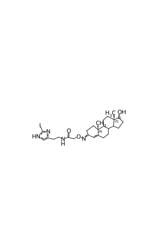 C[C@]12CCC(=NOCC(=O)NCCc3c[nH]c(I)n3)C=C1CCC1C2CC[C@@]2(C)C1CC[C@@H]2O